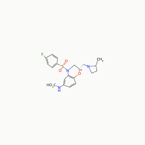 CC1CCN1C[C@H]1CN(S(=O)(=O)c2ccc(F)cc2)c2cc(NC(=O)O)ccc2O1